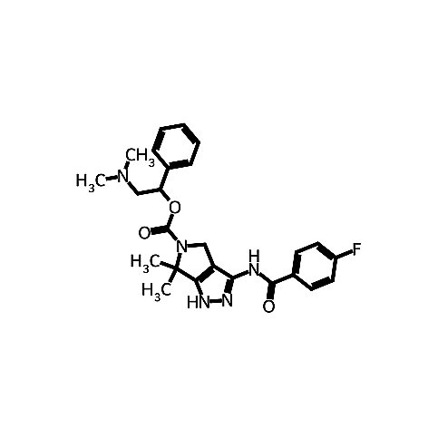 CN(C)CC(OC(=O)N1Cc2c(NC(=O)c3ccc(F)cc3)n[nH]c2C1(C)C)c1ccccc1